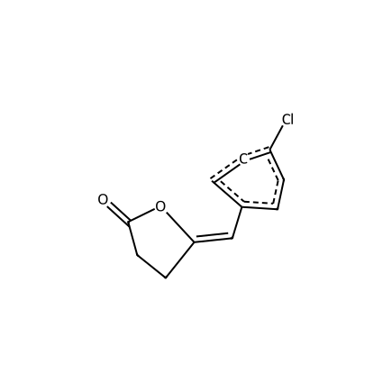 O=C1CCC(=Cc2ccc(Cl)cc2)O1